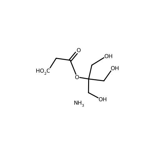 N.O=C(O)CC(=O)OC(CO)(CO)CO